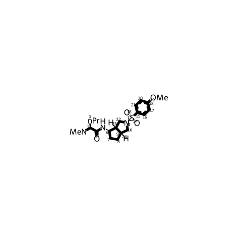 CCC[C@H](NC)C(=O)N[C@H]1CC[C@@H]2CN(S(=O)(=O)c3ccc(OC)cc3)C[C@@H]21